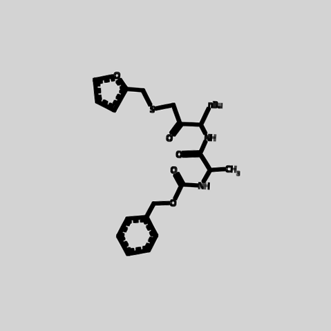 CCCCC(NC(=O)C(C)NC(=O)OCc1ccccc1)C(=O)CSCc1ccco1